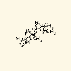 CC(OC(C)=C(C)C1CCN(C)C(C)C1)=C(C)C1CCN(C)C(C)C1